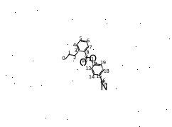 CCCc1ccccc1C(=O)Oc1ccc(C#N)cc1